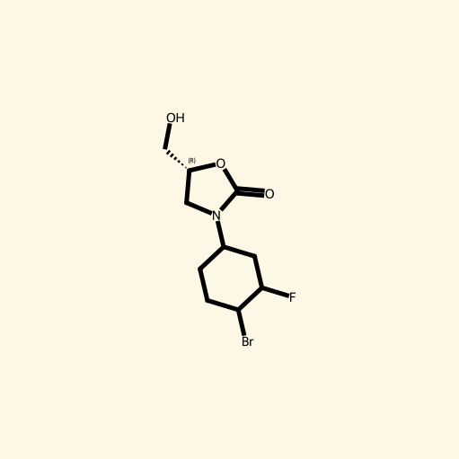 O=C1O[C@@H](CO)CN1C1CCC(Br)C(F)C1